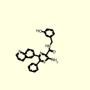 Nc1nc(-c2ccccc2)c(-c2ccc3ncccc3c2)nc1C(=O)NCc1cccc(O)c1